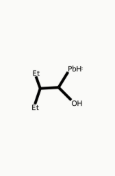 CCC(CC)[CH](O)[PbH]